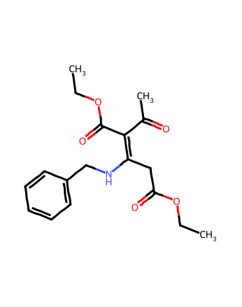 CCOC(=O)CC(NCc1ccccc1)=C(C(C)=O)C(=O)OCC